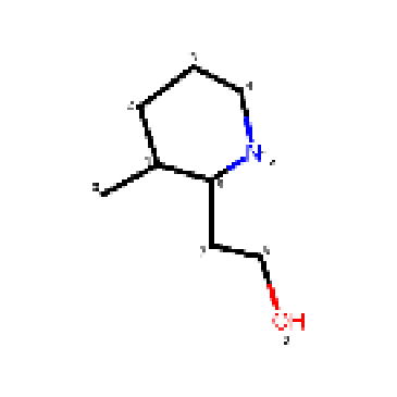 CC1CCC[N]C1CCO